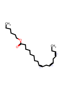 CC/C=C\C/C=C\C/C=C\CCCCCCCC(=O)OCCCCCC